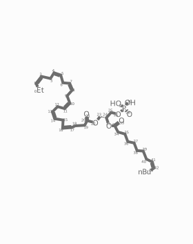 CC/C=C\C/C=C\C/C=C\C/C=C\C/C=C\C/C=C\CCC(=O)OC[C@H](COP(=O)(O)O)OC(=O)CCCCCCC/C=C\CCCC